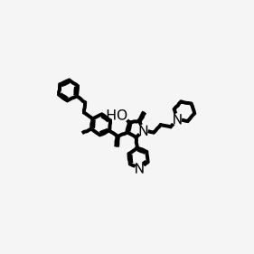 C=C(C1=C(O)C(=C)N(CCCN2CCCCC2)C1c1ccncc1)c1ccc(CCc2ccccc2)c(C)c1